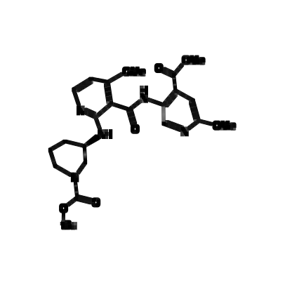 COC(=O)c1cc(OC)ncc1NC(=O)c1c(OC)ccnc1N[C@@H]1CCCN(C(=O)OC(C)(C)C)C1